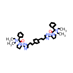 CCN(CC)[C@@H](C(=O)N1CCC[C@H]1c1nc(/C=C/c2ccc(/C=C/c3cnc([C@@H]4CCCN4C(=O)[C@@H](c4ccccc4)N(CC)CC)[nH]3)cc2)c[nH]1)c1ccccc1